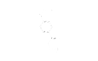 CCCCCCCCNc1ccc(C(=O)CC(=O)OCC)cc1